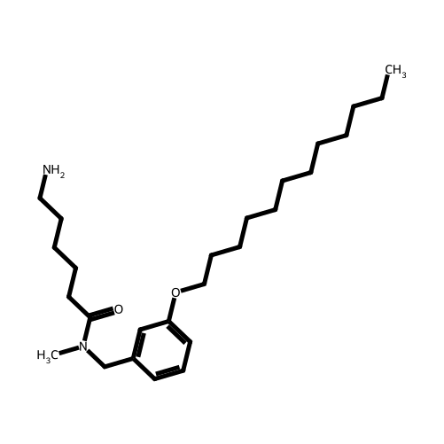 CCCCCCCCCCCCOc1cccc(CN(C)C(=O)CCCCCN)c1